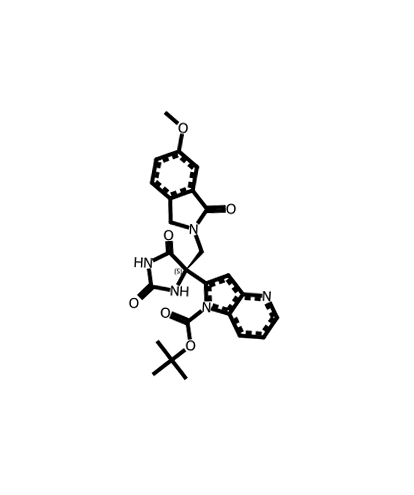 COc1ccc2c(c1)C(=O)N(C[C@@]1(c3cc4ncccc4n3C(=O)OC(C)(C)C)NC(=O)NC1=O)C2